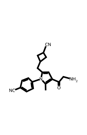 Cc1c(C(=O)CN)cc(CC2CC(C#N)C2)n1-c1ccc(C#N)cc1